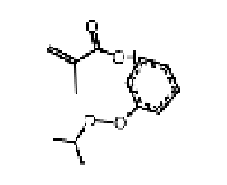 C=C(C)C(=O)O.CC(C)OOc1ccccc1